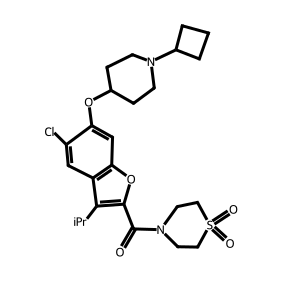 CC(C)c1c(C(=O)N2CCS(=O)(=O)CC2)oc2cc(OC3CCN(C4CCC4)CC3)c(Cl)cc12